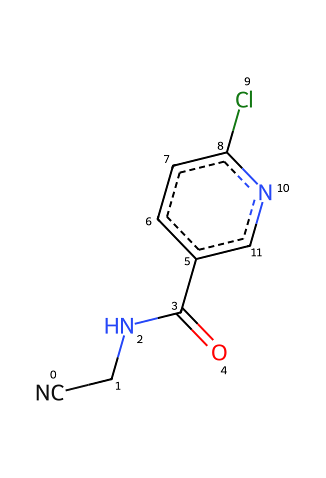 N#CCNC(=O)c1ccc(Cl)nc1